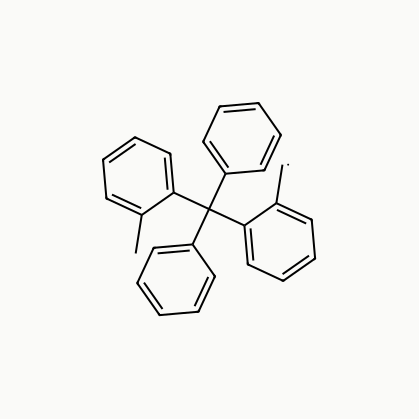 [CH2]c1ccccc1C(c1ccccc1)(c1ccccc1)c1ccccc1C